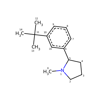 CN1CCCC1c1cccc(C(C)(C)C)c1